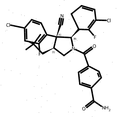 CC(C)(C)C[C@@H]1CN(C(=O)c2ccc(C(N)=O)cc2)[C@H](C2CC=CC(Cl)=C2F)[C@@]1(C#N)c1ccc(Cl)cc1F